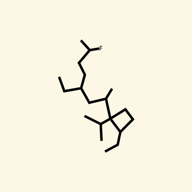 CCC(CCC(C)F)CC(C)C1(C(C)C)CCC1CC